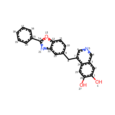 Oc1cc2cncc(Cc3ccc4oc(-c5ccccc5)nc4c3)c2cc1O